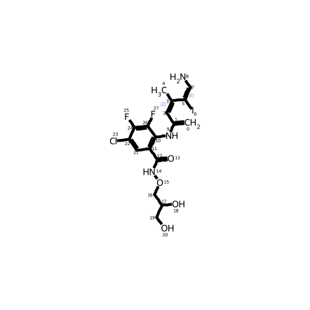 C=C(/C=C(C)\C(I)=C/N)Nc1c(C(=O)NOCC(O)CO)cc(Cl)c(F)c1F